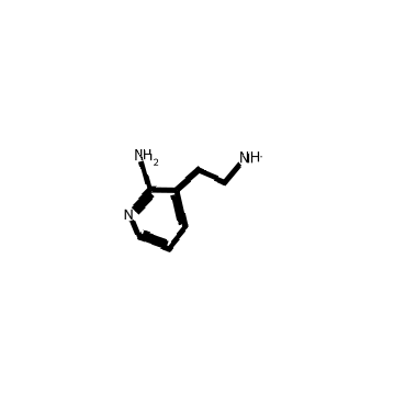 [NH]CCc1cccnc1N